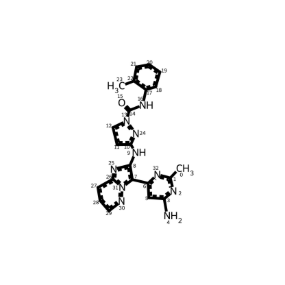 Cc1nc(N)cc(-c2c(Nc3ccn(C(=O)Nc4ccccc4C)n3)nc3cccnn23)n1